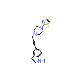 C(#Cc1ccc2[nH]ccc2c1)CN1CCN(c2nccs2)CC1